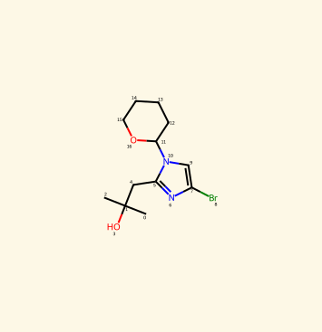 CC(C)(O)Cc1nc(Br)cn1C1CCCCO1